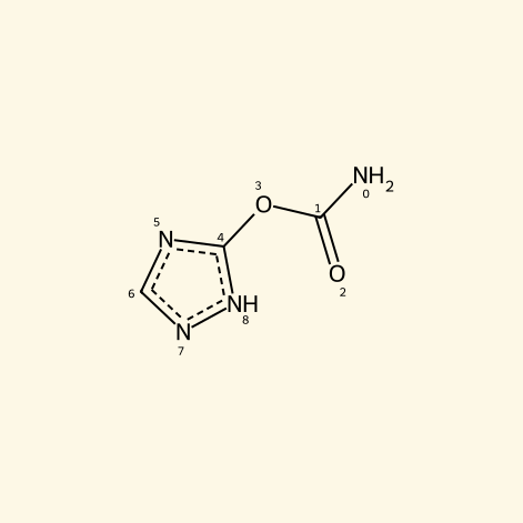 NC(=O)Oc1ncn[nH]1